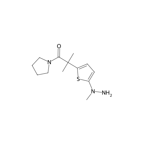 CN(N)c1ccc(C(C)(C)C(=O)N2CCCC2)s1